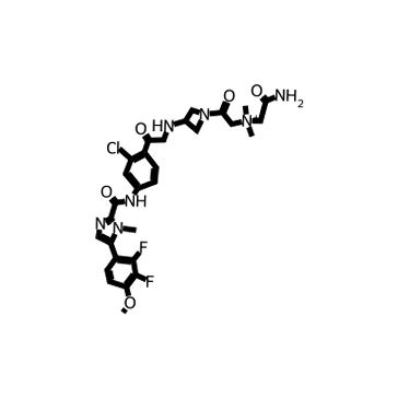 COc1ccc(-c2cnc(C(=O)Nc3ccc(C(=O)CNC4CN(C(=O)C[N+](C)(C)CC(N)=O)C4)c(Cl)c3)n2C)c(F)c1F